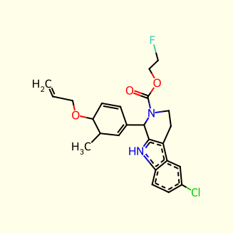 C=CCOC1C=CC(C2c3[nH]c4ccc(Cl)cc4c3CCN2C(=O)OCCF)=CC1C